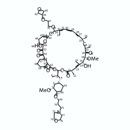 CO[C@@H]1C[C@H](C[C@@H](C)[C@@H]2CC(=O)[C@H](C)/C=C(\C)[C@@H](O)[C@@H](OC)C(=O)[C@H](C)C[C@H](C)/C=C/C=C/C=C(\C)C(OCCOC3COC3)C[C@@H]3CC[C@@H](C)[C@@](O)(O3)C(=O)C(=O)N3CCCC[C@H]3C(=O)O2)CC[C@H]1OCCCN1CCOCC1